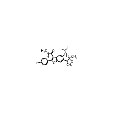 CNC(=O)c1c(-c2ccc(F)cc2)oc2cc(N(C)S(C)(=O)=O)c(OC(F)F)cc12